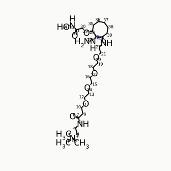 C[N+](C)(C)CCNC(=O)CCOCCOCCOCCOCCN/C1=C(\NN)C(OCC(=O)NO)CCCCC1